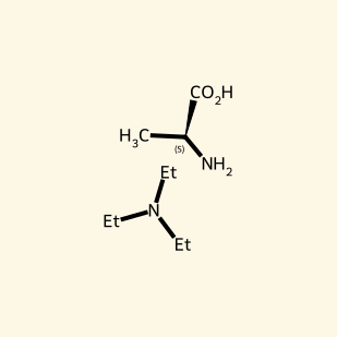 CCN(CC)CC.C[C@H](N)C(=O)O